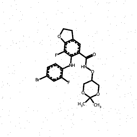 CC1(C)OCC(ONC(=O)c2cc3c(c(F)c2Nc2ccc(Br)cc2F)OCC3)CO1